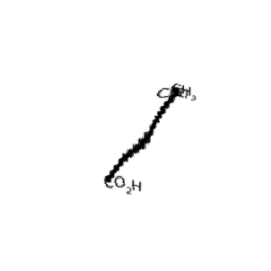 C[Si](Cl)(Cl)CCCCCCCCCCCCCCCCCCCCCCCCCCCCCCCCC(=O)O